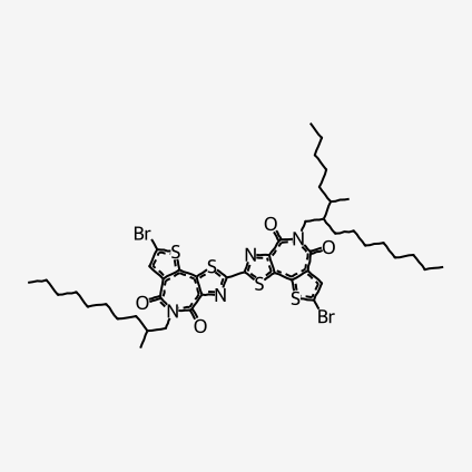 CCCCCCCCC(C)Cn1c(=O)c2cc(Br)sc2c2sc(-c3nc4c(=O)n(CC(CCCCCCCC)C(C)CCCCC)c(=O)c5cc(Br)sc5c4s3)nc2c1=O